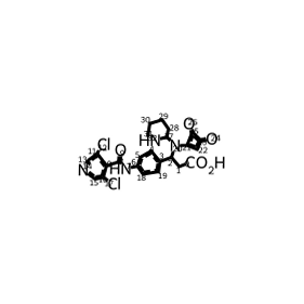 O=C(O)CC(c1ccc(NC(=O)c2c(Cl)cncc2Cl)cc1)N(c1cc(=O)c1=O)C1CCCCN1